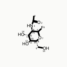 CC(=O)N[C@H]1C(F)O[C@H](CO)[C@@H](O)[C@@H]1O